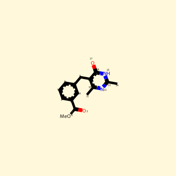 COC(=O)c1cccc(Cc2c(C)nc(C)[nH]c2=O)c1